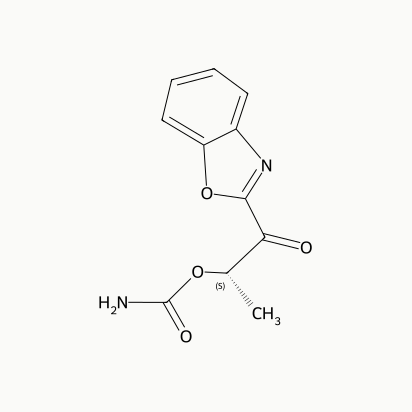 C[C@H](OC(N)=O)C(=O)c1nc2ccccc2o1